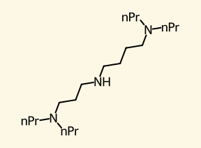 CCCN(CCC)CCCCNCCCN(CCC)CCC